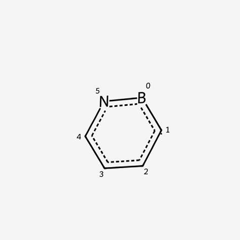 b1[c]cccn1